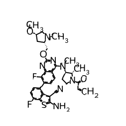 C=CC(=O)N1CC[C@@H](N(C)c2nc(OC[C@@H]3C[C@@H](OC)CN3C)nc3c(F)c(-c4ccc(F)c5sc(N)c(C#N)c45)ccc23)[C@@H]1C